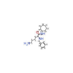 NCCCCC(NCc1ccccc1)C(=O)NC1CCCCCC1